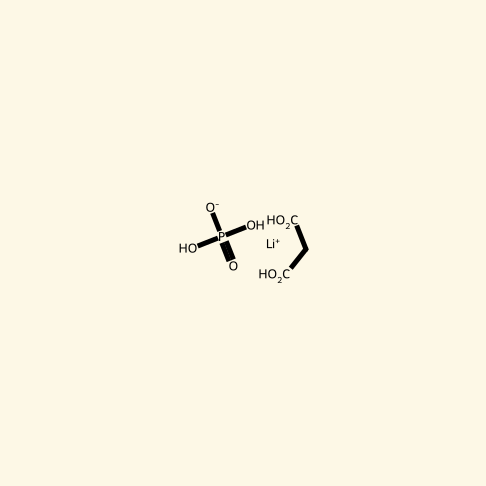 O=C(O)CC(=O)O.O=P([O-])(O)O.[Li+]